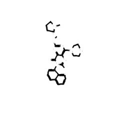 Cc1nc2c(N3CCNCC3)nc(OC[C@@H]3CCCN3C)nc2c(=O)n1-c1cccc2cccc(Cl)c12